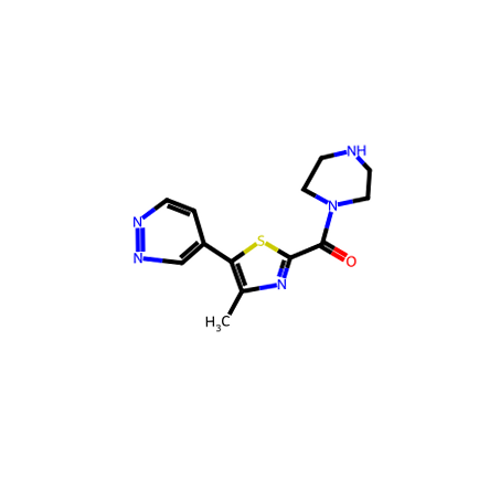 Cc1nc(C(=O)N2CCNCC2)sc1-c1ccnnc1